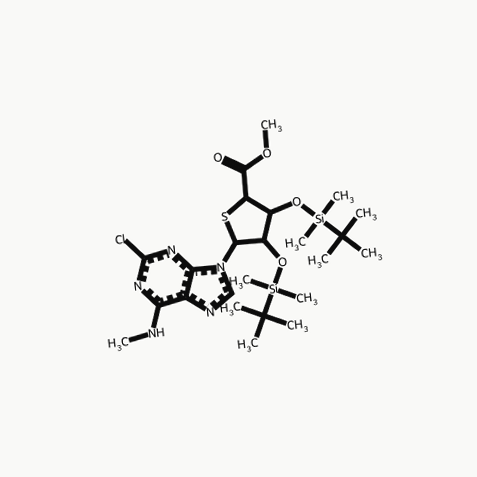 CNc1nc(Cl)nc2c1ncn2C1SC(C(=O)OC)C(O[Si](C)(C)C(C)(C)C)C1O[Si](C)(C)C(C)(C)C